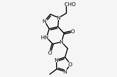 Cc1noc(Cn2c(=O)[nH]c3ncn(CC=O)c3c2=O)n1